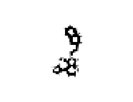 O=C1c2c(C3CCOC3)ccnc2CN1CCc1ccc2ccccc2n1